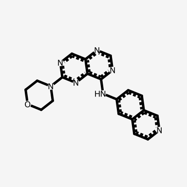 c1cc2cc(Nc3ncnc4cnc(N5CCOCC5)nc34)ccc2cn1